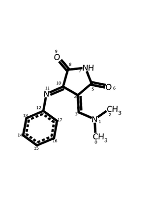 CN(C)C=C1C(=O)NC(=O)C1=Nc1ccccc1